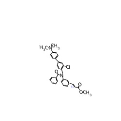 COC(=O)/C=C/c1cccc(N(Cc2ccc(-c3ccc(N(C)C)cc3)cc2Cl)C(=O)c2ccccc2)c1